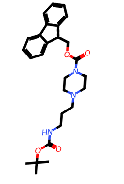 CC(C)(C)OC(=O)NCCCN1CCN(C(=O)OCC2c3ccccc3-c3ccccc32)CC1